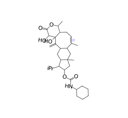 C=C1C2CC3C(C(C)C)C(OC(=O)NC4CCCCC4)CC3(C)CC2/C(C)=C\CC2C(C)OC(=O)C(O)C12O